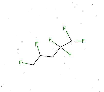 F[CH]C(F)CC(F)(F)C(F)F